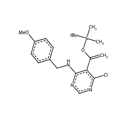 C=C(O[Si](C)(C)C(C)(C)C)c1c(Cl)ncnc1NCc1ccc(OC)cc1